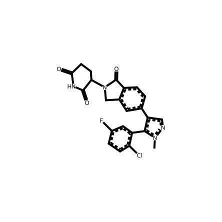 Cn1ncc(-c2ccc3c(c2)CN(C2CCC(=O)NC2=O)C3=O)c1-c1cc(F)ccc1Cl